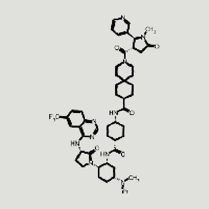 CC(C)N(C)[C@@H]1CC[C@H](N2CC[C@H](Nc3ncnc4ccc(C(F)(F)F)cc34)C2=O)[C@H](NC(=O)[C@H]2CC[C@@H](NC(=O)C3CCC4(CC3)CCN(C(=O)[C@H]3CC(=O)N(C)[C@@H]3c3cccnc3)CC4)CC2)C1